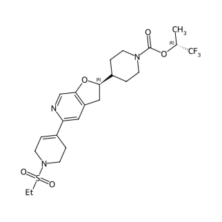 CCS(=O)(=O)N1CC=C(c2cc3c(cn2)O[C@@H](C2CCN(C(=O)O[C@H](C)C(F)(F)F)CC2)C3)CC1